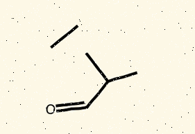 CC.CC(C)C=O